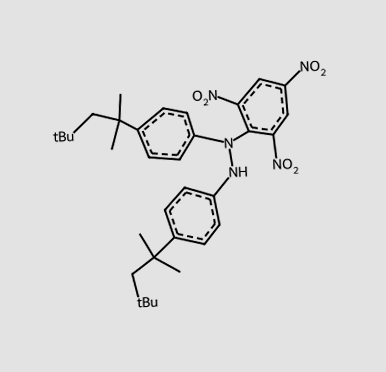 CC(C)(C)CC(C)(C)c1ccc(NN(c2ccc(C(C)(C)CC(C)(C)C)cc2)c2c([N+](=O)[O-])cc([N+](=O)[O-])cc2[N+](=O)[O-])cc1